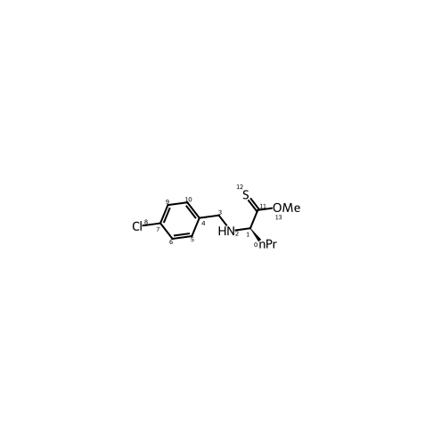 CCC[C@@H](NCc1ccc(Cl)cc1)C(=S)OC